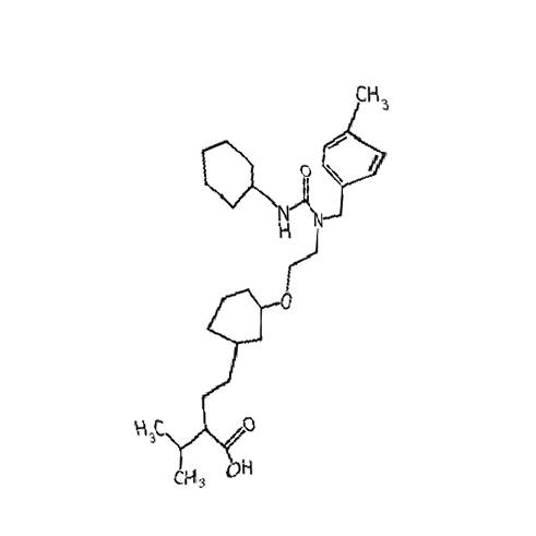 Cc1ccc(CN(CCOC2CCCC(CCC(C(=O)O)C(C)C)C2)C(=O)NC2CCCCC2)cc1